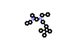 c1ccc(-c2cccc(N(c3ccc(-c4ccc5c(c4)c(-c4ccccc4)c(-c4ccccc4)c4ccccc45)cc3)c3ccc4c(c3)c3ccccc3n4-c3ccc4ccccc4c3)c2)cc1